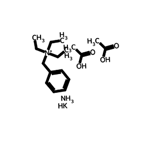 CC(=O)O.CC(=O)O.CC[N+](CC)(CC)Cc1ccccc1.N.[KH]